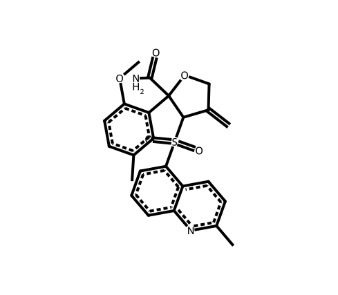 C=C1COC(C(N)=O)(c2cc(C)ccc2OC)C1S(=O)(=O)c1cccc2nc(C)ccc12